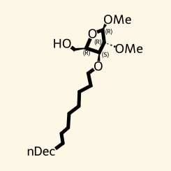 CCCCCCCCCCCCCCCCCCO[C@@H]1[C@@H](OC)[C@H](OC)O[C@@H]1CO